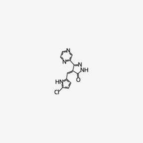 O=C1NN=C(c2cnccn2)C1=Cc1ccc(Cl)[nH]1